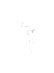 Cl.Cl.NC(=O)Cc1ccc(-c2ccc(N[C@H]3C[C@H]4CNC[C@H]4C3)nn2)cc1